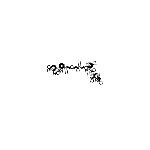 CO[C@@H](C)c1c(NC(=O)Nc2cc(Cl)cnc2OCCNC(=O)CCOCCNc2cccc3c2N(C)C(O)N3C2CCC(=O)NC2=O)cnc2cc(Cl)nn12